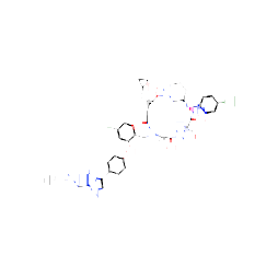 C[C@H]1C(=O)N[C@@H](CO)C(=O)N[C@@]2(Cc3ccc(Cl)cc3)CCCN(C2)C(=O)[C@H](CC2CC2)CC(=O)N1Cc1ccc(Cl)cc1Oc1ccc(-c2cnc(CNC(C)(C)C)n2C)cc1